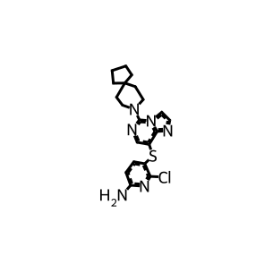 Nc1ccc(Sc2cnc(N3CCC4(CCCC4)CC3)n3ccnc23)c(Cl)n1